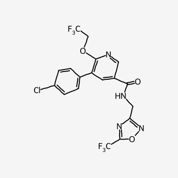 O=C(NCc1noc(C(F)(F)F)n1)c1cnc(OCC(F)(F)F)c(-c2ccc(Cl)cc2)c1